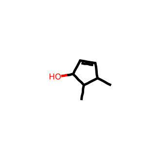 CC1C=CC(O)C1C